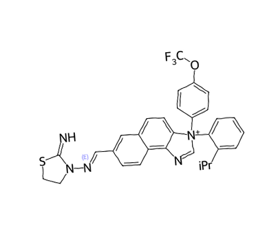 CC(C)c1ccccc1[N+]1(c2ccc(OC(F)(F)F)cc2)C=Nc2c1ccc1cc(/C=N/N3CCSC3=N)ccc21